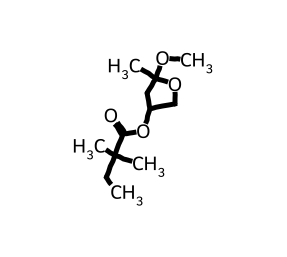 CCC(C)(C)C(=O)OC1COC(C)(OC)C1